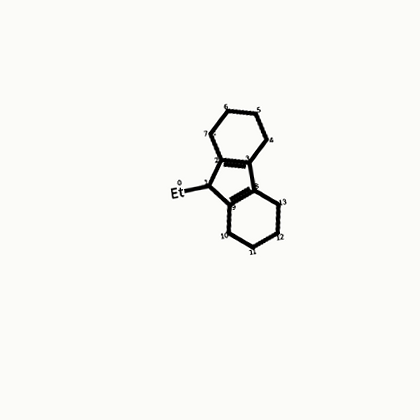 CCC1C2=C(CCC[C]2)C2=C1CCCC2